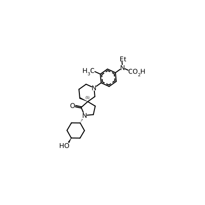 CCN(C(=O)O)c1ccc(N2CCC[C@]3(CCN([C@H]4CC[C@H](O)CC4)C3=O)C2)c(C)c1